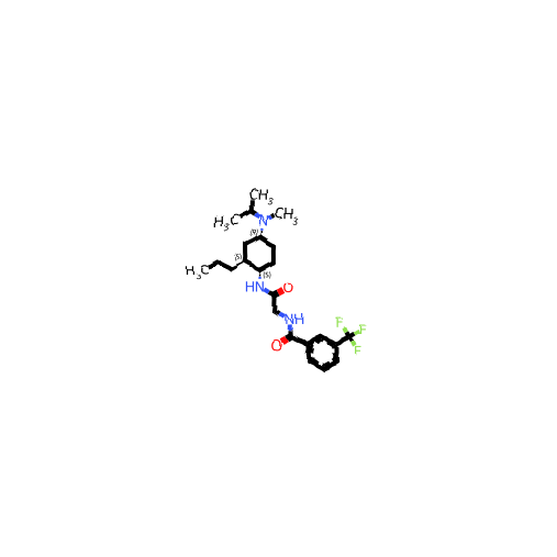 CCC[C@H]1C[C@H](N(C)C(C)C)CC[C@@H]1NC(=O)CNC(=O)c1cccc(C(F)(F)F)c1